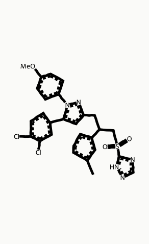 COc1ccc(-n2nc(CC(CS(=O)(=O)c3ncn[nH]3)c3cccc(C)c3)cc2-c2ccc(Cl)c(Cl)c2)cc1